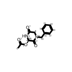 CC(=O)O[C@H]1NC(=O)CN(Cc2ccccc2)C1=O